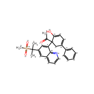 CC(=O)C1(c2cc(C(C)(C)S(C)(=O)=O)cc3cccnc23)CC(c2ccccc2)=CC=C1O